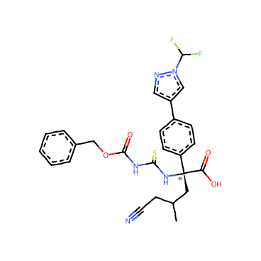 CC(CC#N)C[C@](NC(=S)NC(=O)OCc1ccccc1)(C(=O)O)c1ccc(-c2cnn(C(F)F)c2)cc1